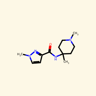 CN1CCC(C)(NC(=O)c2ccn(C)n2)CC1